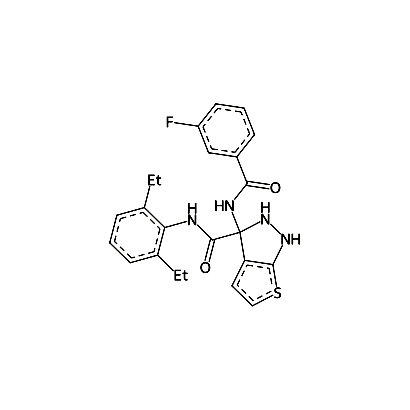 CCc1cccc(CC)c1NC(=O)C1(NC(=O)c2cccc(F)c2)NNc2sccc21